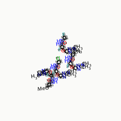 CN(C)Cc1cnc2ccc(Oc3ccc(NC(=O)Nc4ccc(C#N)cc4)cc3F)cc2n1.CN(C)Cc1cnc2ccc(Oc3ccc(NC(=O)Nc4cccc(Cl)c4)cc3F)cc2n1.CN(C)Cc1cnc2ccc(Oc3ccc(NC(=O)Nc4cccc(F)c4)cc3F)cc2n1.COc1ccc(NC(=O)Nc2ccc(Oc3ccc4ncc(CN(C)C)nc4c3)c(F)c2)cc1